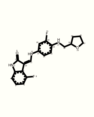 O=C1Nc2cccc(F)c2C1=CNc1ccc(NCC2CCCO2)c(F)c1